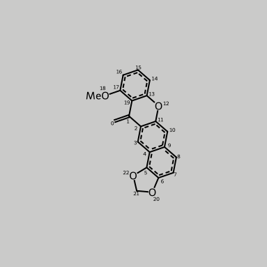 C=C1c2cc3c4c(ccc3cc2Oc2cccc(OC)c21)OCO4